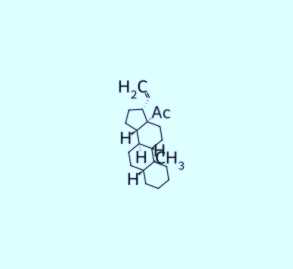 C=C[C@H]1CC[C@H]2[C@@H]3CC[C@H]4CCCC[C@]4(C)[C@H]3CC[C@]12C(C)=O